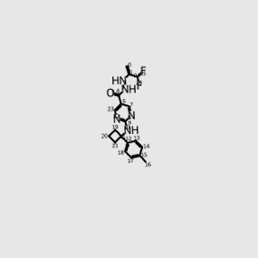 C=C(NNC(=O)c1cnc(NC2(c3ccc(C)cc3)CCC2)nc1)C(F)F